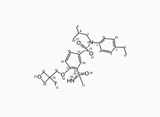 CCc1ccc(N(CC(C)C)S(=O)(=O)c2ccc(OCC3(F)COC3)c(S(C)(=N)=O)c2)cc1